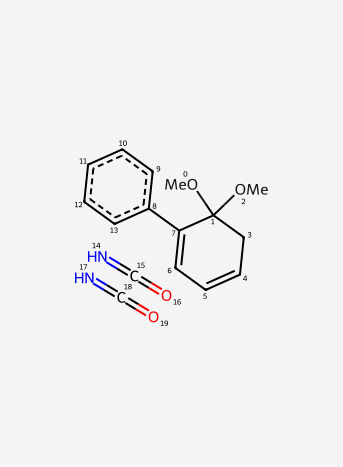 COC1(OC)CC=CC=C1c1ccccc1.N=C=O.N=C=O